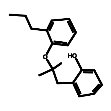 CCCc1ccccc1OC(C)(C)Cc1ccccc1O